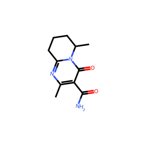 Cc1nc2n(c(=O)c1C(N)=O)C(C)CCC2